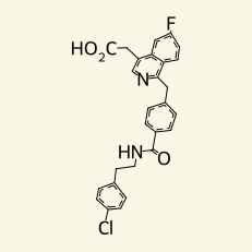 O=C(O)Cc1cnc(Cc2ccc(C(=O)NCCc3ccc(Cl)cc3)cc2)c2ccc(F)cc12